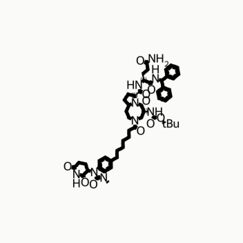 Cn1c(=O)n(C2CCC(=O)NC2=O)c2ccc(CCCCCCC(=O)N3CCC4CC[C@@H](C(=O)N[C@@H](CCC(N)=O)C(=O)NC(c5ccccc5)c5ccccc5)N4C(=O)[C@@H](NC(=O)OC(C)(C)C)C3)cc21